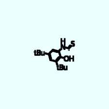 CC(C)(C)c1cc(N[C]=S)c(O)c(C(C)(C)C)c1